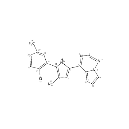 N#Cc1cc(-c2ncnn3cccc23)[nH]c1-c1cc(C(F)(F)F)ccc1Cl